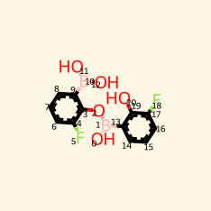 OB(Oc1c(F)cccc1B(O)O)c1cccc(F)c1O